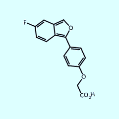 O=C(O)COc1ccc(-c2occ3cc(F)ccc23)cc1